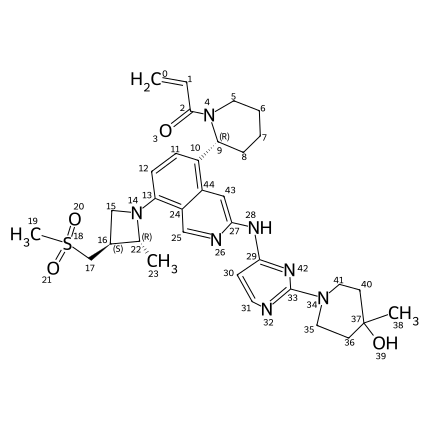 C=CC(=O)N1CCCC[C@@H]1c1ccc(N2C[C@H](CS(C)(=O)=O)[C@H]2C)c2cnc(Nc3ccnc(N4CCC(C)(O)CC4)n3)cc12